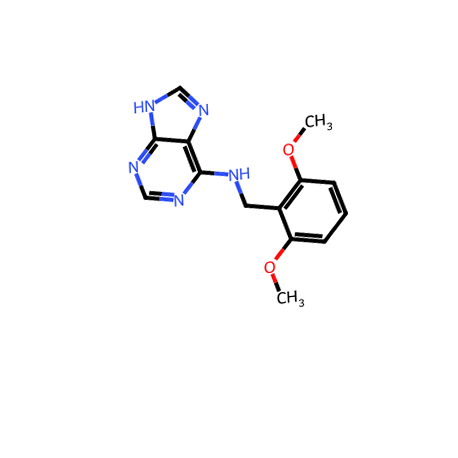 COc1cccc(OC)c1CNc1ncnc2[nH]cnc12